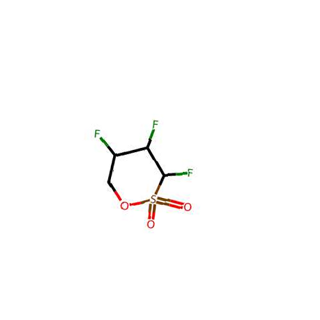 O=S1(=O)OCC(F)C(F)C1F